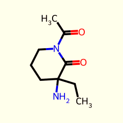 CCC1(N)CCCN(C(C)=O)C1=O